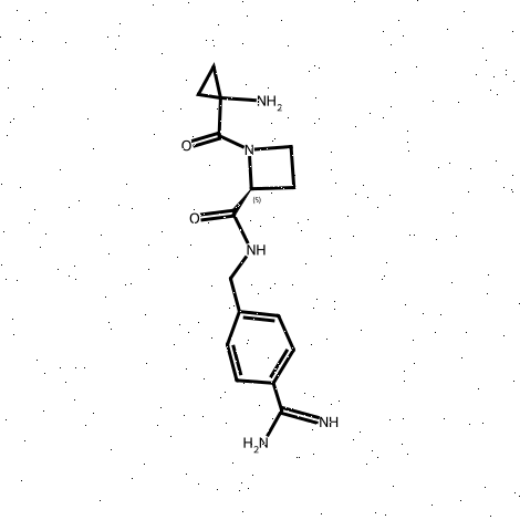 N=C(N)c1ccc(CNC(=O)[C@@H]2CCN2C(=O)C2(N)CC2)cc1